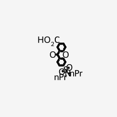 CCCN(CCC)S(=O)(=O)c1ccc2c(=O)c3cc(C(=O)O)ccc3oc2c1